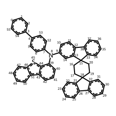 c1ccc(-c2ccc(N(c3ccc4c(c3)C3(CCC5(CC3)c3ccccc3-c3ccccc35)c3ccccc3-4)c3cccc4c3sc3ccccc34)cc2)cc1